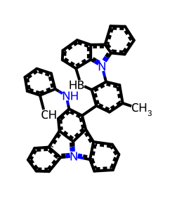 Cc1cc(-c2c(Nc3ccccc3C)cc3c4ccccc4n4c5ccccc5c2c34)c2c(c1)-n1c3ccccc3c3cccc(c31)B2